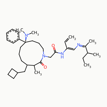 C=C/C(=C\N=C(\C)C(C)CC)NC(=O)CN1CCC[C@](c2ccccc2)(N(C)C)CCCC(CC2CCC2)C(C)C1=O